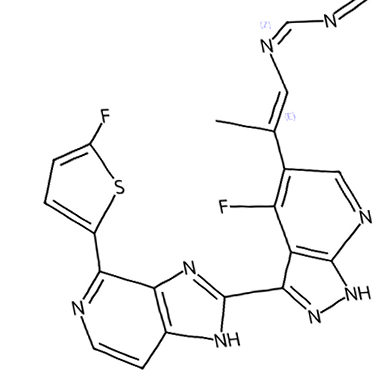 C=N/C=N\C=C(/C)c1cnc2[nH]nc(-c3nc4c(-c5ccc(F)s5)nccc4[nH]3)c2c1F